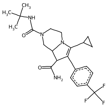 CC(C)(C)NC(=O)N1CCN2C(C3CC3)=C(c3ccc(C(F)(F)F)cc3)C(C(N)=O)C2C1